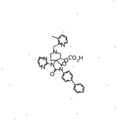 Cc1cccnc1CN1CCC2(C(=O)N(c3ccc(-c4ccccc4)cc3)C(=O)N2c2ncccn2)C(OC(=O)O)C1